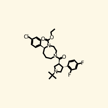 CCOC(=O)N1CCN(C(=O)[C@@H]2CN(C(C)(C)C)C[C@H]2c2ccc(F)cc2F)CCC[C@H]1c1ccc(Cl)cc1